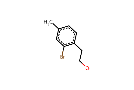 Cc1ccc(CC[O])c(Br)c1